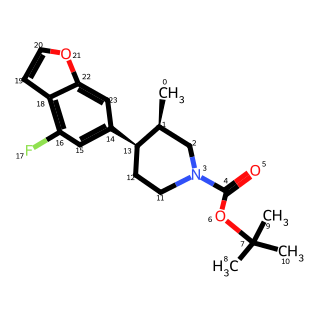 C[C@H]1CN(C(=O)OC(C)(C)C)CC[C@H]1c1cc(F)c2ccoc2c1